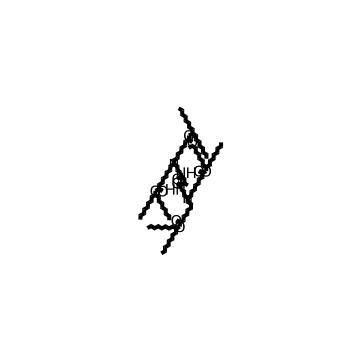 CCCCCCCCC(CCCCCCCC)OC(=O)CCCCCCCN(CCCCCCCC(=O)OC(CCCCCCCC)CCCCCCCC)CCNC(=O)CC(C)C(=O)NCCN(CCCCCCCC(=O)OC(CCCCCCCC)CCCCCCCC)CCCCCCCC(=O)OC(CCCCCCCC)CCCCCCCC